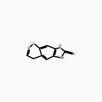 O=c1[nH]c2cc3c(cc2[nH]1)SN=CC3